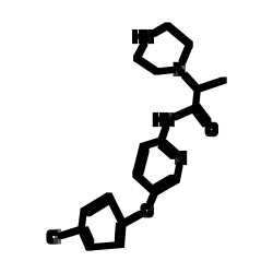 CC(C(=O)Nc1ccc(Oc2ccc(Cl)cc2)cn1)N1CCNCC1